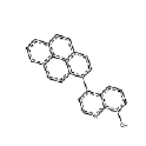 Oc1cccc2c(-c3ccc4ccc5cccc6ccc3c4c56)ccnc12